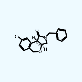 O=C1[C@H]2c3cc(Cl)ccc3CO[C@@H]2CN1Cc1ccccc1